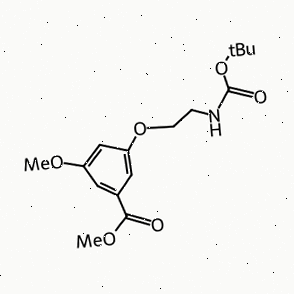 COC(=O)c1cc(OC)cc(OCCNC(=O)OC(C)(C)C)c1